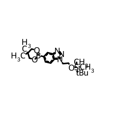 CC1(C)COB(c2ccc3c(c2)nnn3CCO[Si](C)(C)C(C)(C)C)OC1